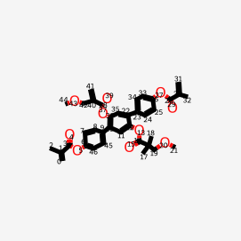 C=C(C)C(=O)Oc1ccc(-c2cc(OC(=O)C(C)(C)COC)c(-c3ccc(OC(=O)C(=C)C)cc3)cc2OC(=O)C(=C)COC)cc1